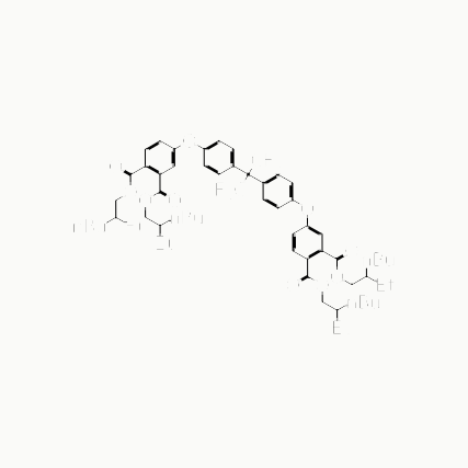 CCCCC(CC)COC(=O)c1ccc(Oc2ccc(C(c3ccc(Oc4ccc(C(=O)OCC(CC)CCCC)c(C(=O)OCC(CC)CCCC)c4)cc3)(C(F)(F)F)C(F)(F)F)cc2)cc1C(=O)OCC(CC)CCCC